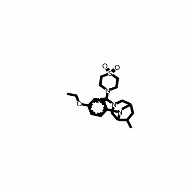 CCOc1ccc(N2CC3CC(C)C2CN(C(=O)N2CCS(=O)(=O)CC2)C3)cc1